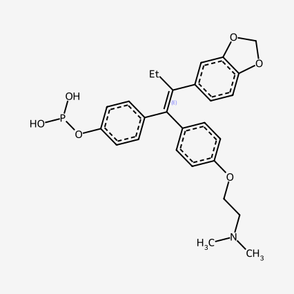 CC/C(=C(/c1ccc(OCCN(C)C)cc1)c1ccc(OP(O)O)cc1)c1ccc2c(c1)OCO2